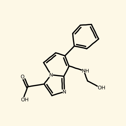 O=C(O)c1cnc2c(NCO)c(-c3ccccc3)ccn12